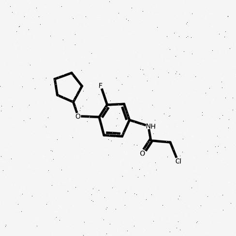 O=C(CCl)Nc1ccc(OC2CCCC2)c(F)c1